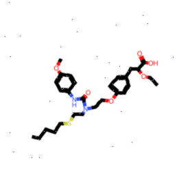 CCCCCSCCN(CCOc1ccc(CC(OCC)C(=O)O)cc1)C(=O)Nc1ccc(OC)cc1